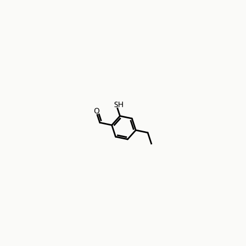 CCc1ccc(C=O)c(S)c1